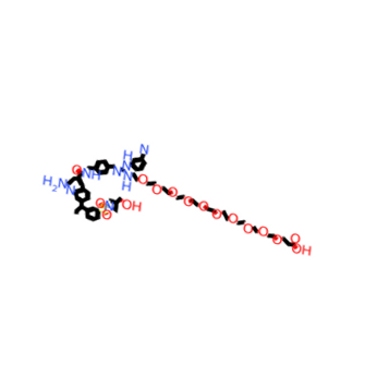 CCC(c1cccc(S(=O)(=O)N2CC(CO)C2)c1)c1ccc2c(c1)N=C(N)CC(C(=O)NCc1ccc(C/N=C(/NCCOCCOCCOCCOCCOCCOCCOCCOCCOCCOCCC(=O)O)Nc3cccc(C#N)c3)cc1)=C2